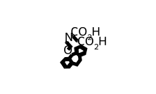 CN(CCOC1c2ccccc2CCc2ccccc21)C(CC(=O)O)C(=O)O